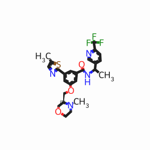 Cc1cnc(-c2cc(OC[C@@H]3COCCN3C)cc(C(=O)NC(C)c3ccc(C(F)(F)F)nc3)c2)s1